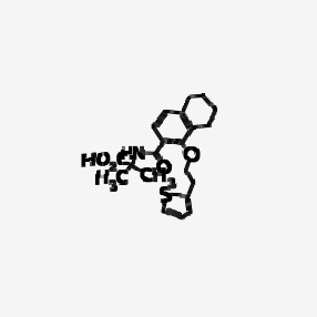 CC(C)(NC(=O)c1ccc2c(c1OCCc1cccs1)CCCC2)C(=O)O